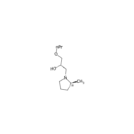 CCCOCC(O)CN1CCC[C@@H]1C